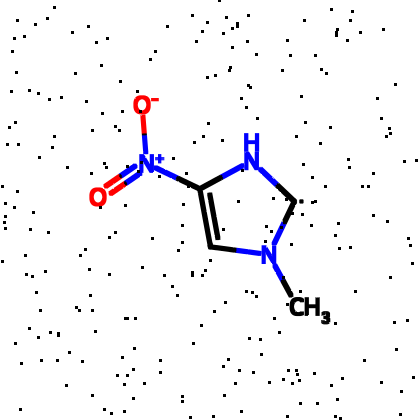 CN1[CH]NC([N+](=O)[O-])=C1